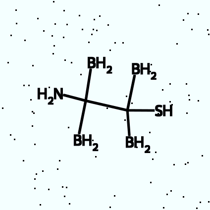 BC(B)(N)C(B)(B)S